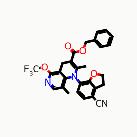 CC1=C(C(=O)OCc2ccccc2)Cc2c(OC(F)(F)F)ncc(C)c2N1c1ccc(C#N)c2c1OCC2